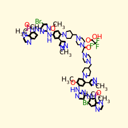 COc1cc(N2CCC(CN3CCN(CC(=O)N4CCN(CC5CCN(c6cc(OC)c(Nc7ncc(Br)c(Nc8ccc9nccnc9c8P(C)(C)=O)n7)cc6-c6cnn(C)c6)CC5)CC4)CC3)CC2)c(-c2cnn(C)c2)cc1Nc1ncc(Br)c(Nc2ccc3nccnc3c2P(C)(C)=O)n1.O=C(O)C(F)(F)F